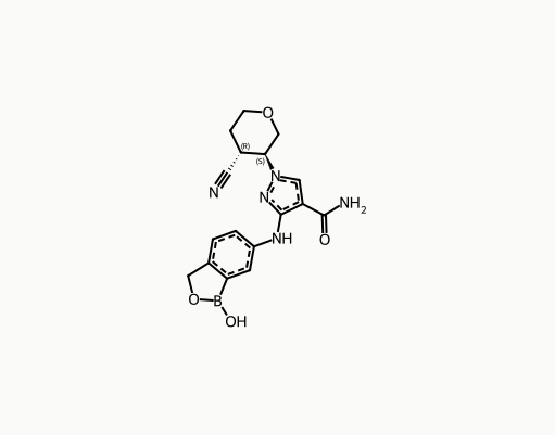 N#C[C@@H]1CCOC[C@H]1n1cc(C(N)=O)c(Nc2ccc3c(c2)B(O)OC3)n1